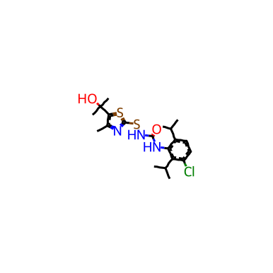 Cc1nc(SNC(=O)Nc2c(C(C)C)ccc(Cl)c2C(C)C)sc1C(C)(C)O